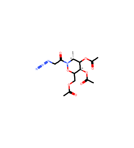 CC(=O)OCC1ON(C(=O)CN=[N+]=[N-])[C@H](C)C(OC(C)=O)[C@H]1OC(C)=O